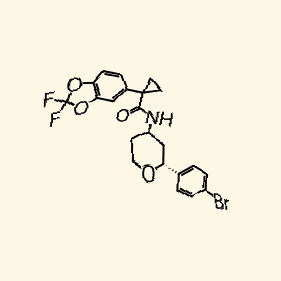 O=C(N[C@@H]1CCO[C@@H](c2ccc(Br)cc2)C1)C1(c2ccc3c(c2)OC(F)(F)O3)CC1